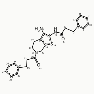 Nc1c(NC(=O)CCc2ccccc2)sc2c1CCN(C(=O)CCc1cccnc1)C2